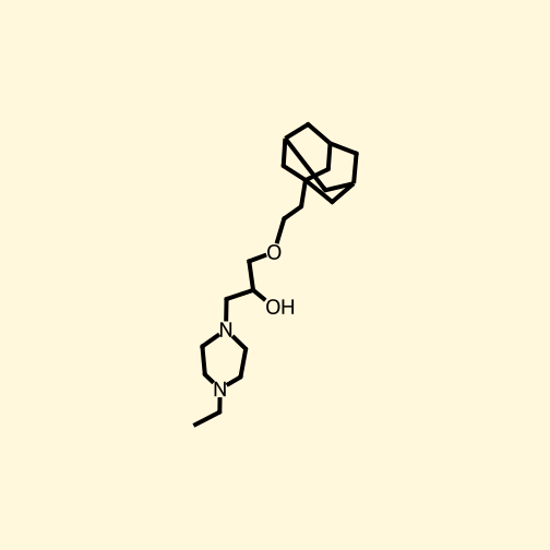 CCN1CCN(CC(O)COCCC23CC4CC(CC(C4)C2)C3)CC1